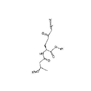 CO[C@H](C)CC(=O)N[C@@H](CCC(=O)C=[N+]=[N-])C(=O)OC(C)C